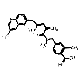 B=C(C)c1ccc(CN(C)C(=O)C(=C)/C=C(\C)Cc2ccc3ncc(C)cc3c2)cc1C